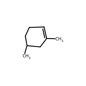 C[C]1CCC=C(C)C1